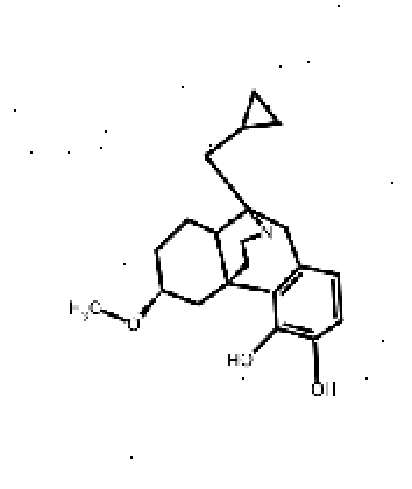 CO[C@H]1CCC2C3Cc4ccc(O)c(O)c4[C@]2(CCN3CC2CC2)C1